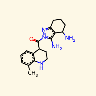 Cc1cccc2c1NCCC2C(=O)n1nc2c(c1N)C(N)CCC2